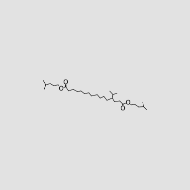 CC(C)CCCOC(=O)CCCCCCCCCCCC(CCC(=O)OCCCC(C)C)C(C)C